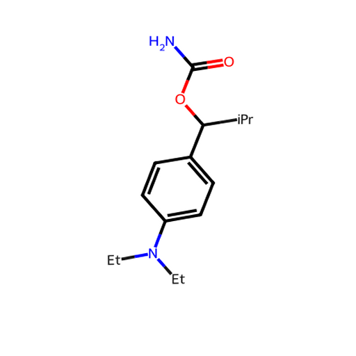 CCN(CC)c1ccc(C(OC(N)=O)C(C)C)cc1